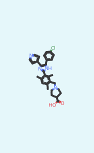 Cc1cc(C)c(-c2nc(-c3ccncc3)c(-c3ccc(Cl)cc3)[nH]2)c(C)c1CN1CCC(C(=O)O)CC1